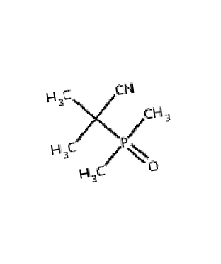 CC(C)(C#N)P(C)(C)=O